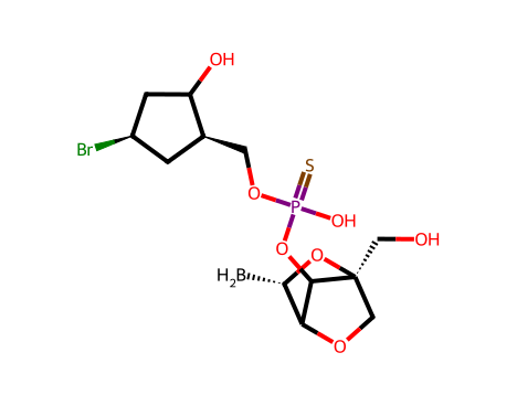 B[C@@H]1O[C@@]2(CO)COC1C2OP(O)(=S)OC[C@H]1C[C@@H](Br)CC1O